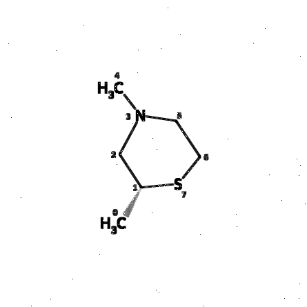 C[C@@H]1CN(C)CCS1